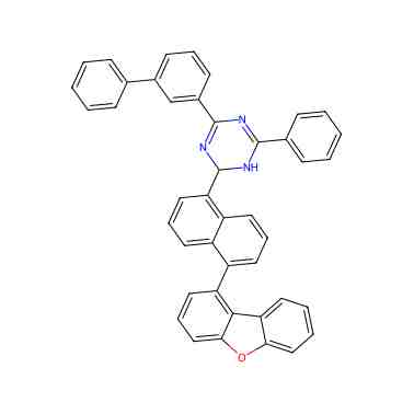 c1ccc(C2=NC(c3cccc(-c4ccccc4)c3)=NC(c3cccc4c(-c5cccc6oc7ccccc7c56)cccc34)N2)cc1